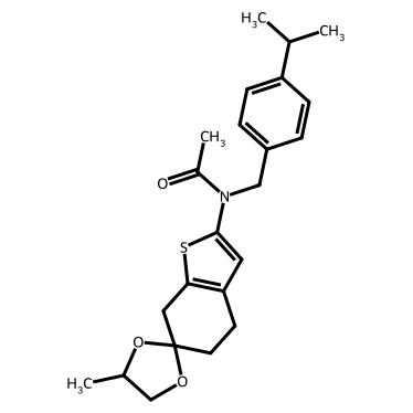 CC(=O)N(Cc1ccc(C(C)C)cc1)c1cc2c(s1)CC1(CC2)OCC(C)O1